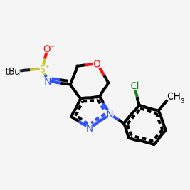 Cc1cccc(-n2ncc3c2COCC3=N[S+]([O-])C(C)(C)C)c1Cl